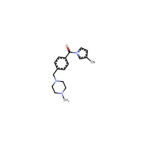 CN1CCN(Cc2ccc(C(=O)n3ccc(C#N)c3)cc2)CC1